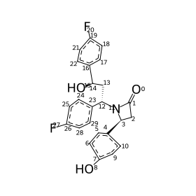 O=C1C[C@@H](c2ccc(O)cc2)N1[C@@H](C[C@@H](O)c1ccc(F)cc1)c1ccc(F)cc1